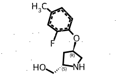 Cc1ccc(O[C@H]2CN[C@H](CO)C2)c(F)c1